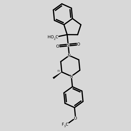 C[C@H]1CN(S(=O)(=O)C2(C(=O)O)CCc3ccccc32)CCN1c1ccc(OC(F)(F)F)cc1